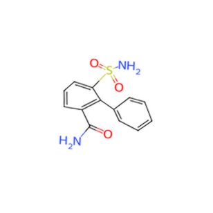 NC(=O)c1cccc(S(N)(=O)=O)c1-c1ccccc1